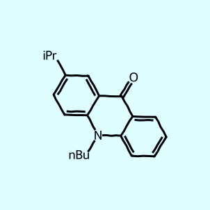 CCCCn1c2ccccc2c(=O)c2cc(C(C)C)ccc21